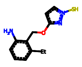 CCc1cccc(N)c1COc1ccn(S)n1